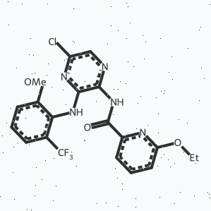 CCOc1cccc(C(=O)Nc2ncc(Cl)nc2Nc2c(OC)cccc2C(F)(F)F)n1